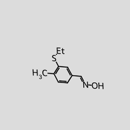 CCSc1cc(/C=N/O)ccc1C